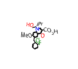 COc1cc2c(cc1CC1(Cl)C=CC=CC1F)c(=O)c(C(=O)O)cn2[C@H](CO)C(C)C